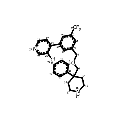 FC(F)(F)c1cc(COCC2(c3ccccc3)CCNCC2)cc(-c2ccncc2Cl)c1